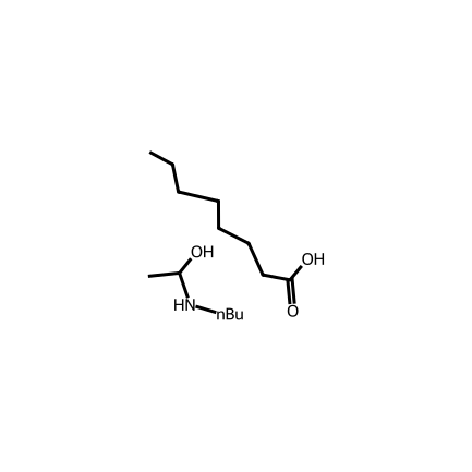 CCCCCCCC(=O)O.CCCCNC(C)O